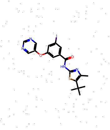 Cc1nc(NC(=O)c2cc(I)cc(Oc3cncnc3)c2)sc1C(C)(C)C